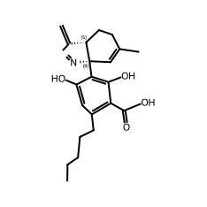 C=N[C@@]1(c2c(O)cc(CCCCC)c(C(=O)O)c2O)C=C(C)CC[C@H]1C(=C)C